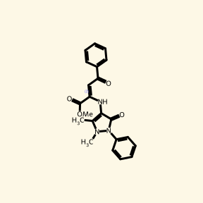 COC(=O)/C(=C/C(=O)c1ccccc1)Nc1c(C)n(C)n(-c2ccccc2)c1=O